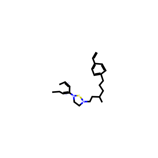 C=Cc1ccc(CCCC(C)CCN2CCN(C(/C=C\C)=C/CC)S2)cc1